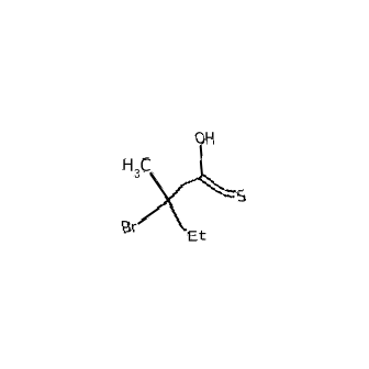 CCC(C)(Br)C(O)=S